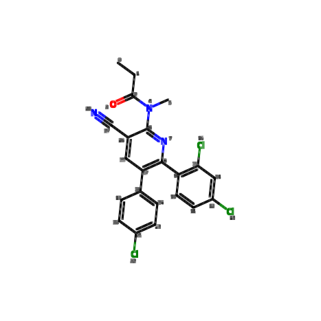 CCC(=O)N(C)c1nc(-c2ccc(Cl)cc2Cl)c(-c2ccc(Cl)cc2)cc1C#N